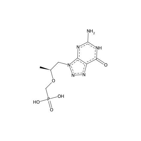 C[C@@H](Cn1nnc2c(=O)[nH]c(N)nc21)OCP(=O)(O)O